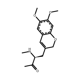 CN[C@@H](CC1=Cc2cc(OC)c(OC)cc2OC1)C(C)=O